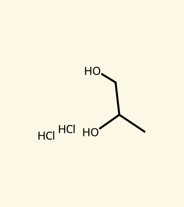 CC(O)CO.Cl.Cl